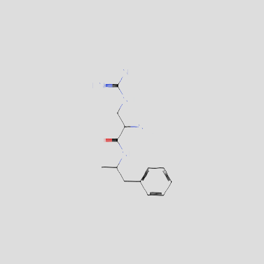 CC(Cc1ccccc1)NC(=O)C(N)CNC(=N)N